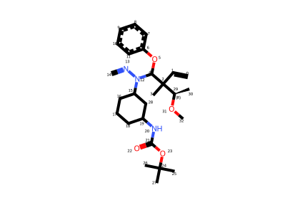 C=CC(C)(C(Oc1ccccc1)N(N=C)C1CCCC(NC(=O)OC(C)(C)C)C1)[C@@H](C)OC